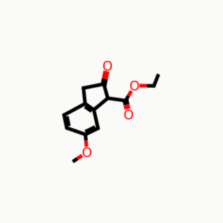 CCOC(=O)C1C(=O)Cc2ccc(OC)cc21